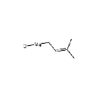 CC(C)=C[CH2][Mg][Cl]